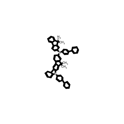 CC1(C)c2ccccc2-c2ccc(N(c3ccc(-c4ccccc4)cc3)c3ccc4c(c3)C(C)(C)c3cc5c(cc3-4)C3CC=CC=C3N5c3ccc(-c4ccccc4)cc3)cc21